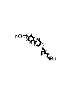 CCCCCCCCc1ccc(-c2ncc(OCCC(F)CCC(C)CC)cn2)cc1